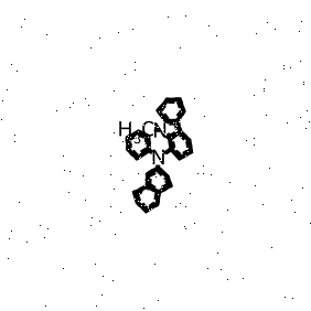 Cn1c2ccccc2c2cccc(N(c3ccccc3)c3ccc4ccccc4c3)c21